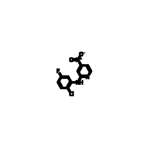 O=[N+]([O-])c1ccnc(Nc2cc(F)ccc2Cl)c1